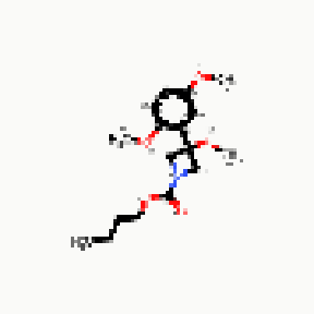 CCCCOC(=O)N1CC(OC)(c2cc(OC)ccc2OC)C1